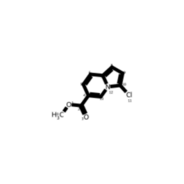 COC(=O)c1ccc2ccc(Cl)n2c1